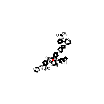 CC(C)Oc1ccccc1[C@@H]1COCCCN1C1CC2(CCN(c3ccc(C(=O)NS(=O)(=O)c4ccc(NC[C@H]5COCCO5)c([N+](=O)[O-])c4)c(N4c5cc6cc[nH]c6nc5O[C@H]5COCC[C@@H]54)c3)CC2)C1